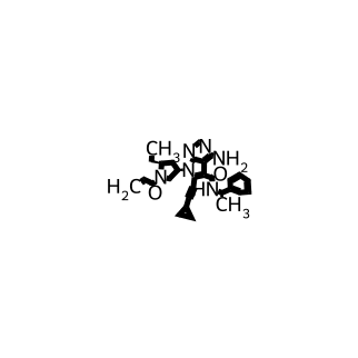 C=CC(=O)N1C[C@H](n2c(C#CC3CC3)c(C(=O)N[C@H](C)c3ccccc3)c3c(N)ncnc32)C[C@@H]1CC